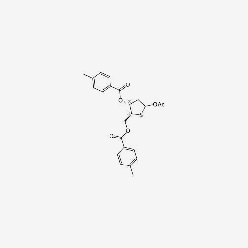 CC(=O)OC1C[C@@H](OC(=O)c2ccc(C)cc2)[C@H](COC(=O)c2ccc(C)cc2)S1